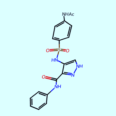 CC(=O)Nc1ccc(S(=O)(=O)Nc2c[nH]nc2C(=O)Nc2ccccc2)cc1